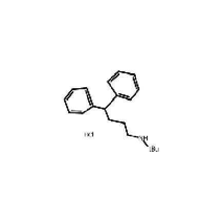 CC(C)(C)NCCCC(c1ccccc1)c1ccccc1.Cl